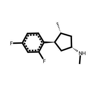 CN[C@H]1C[C@@H](C)[C@H](c2ccc(F)cc2F)C1